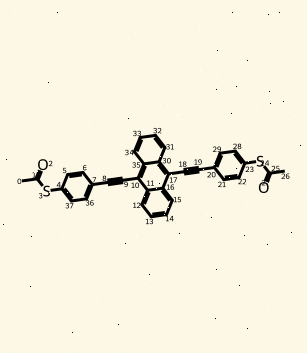 CC(=O)Sc1ccc(C#Cc2c3ccccc3c(C#Cc3ccc(SC(C)=O)cc3)c3ccccc23)cc1